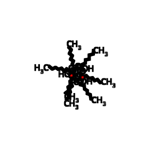 CCCCCCCC[Si]1(O)O[Si]2(CCCCCCCC)O[Si](O)(CCCCCCCC)O[Si]3(CCCCCCCC)O[Si](O)(CCCCCCCC)O[Si](CCCCCCCC)(O1)O[Si](CCCCCCCC)(O2)O3